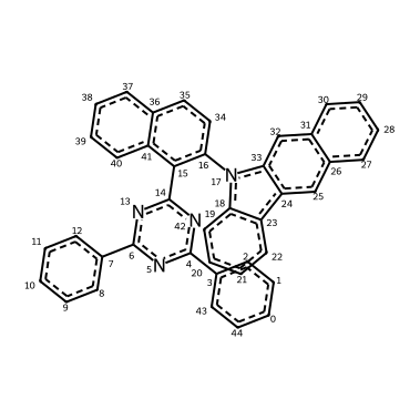 c1ccc(-c2nc(-c3ccccc3)nc(-c3c(-n4c5ccccc5c5cc6ccccc6cc54)ccc4ccccc34)n2)cc1